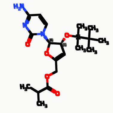 CC(C)C(=O)OCC1=C[C@@H](O[Si](C)(C)C(C)(C)C)[C@H](n2ccc(N)nc2=O)O1